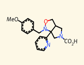 COc1ccc(CN2OCC3CN(C(=O)O)CC32c2ccccn2)cc1